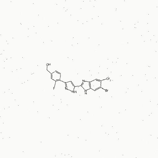 OCc1ccc(-c2cc(-c3nc4cc(C(F)(F)F)c(Br)cc4[nH]3)[nH]n2)c(F)c1